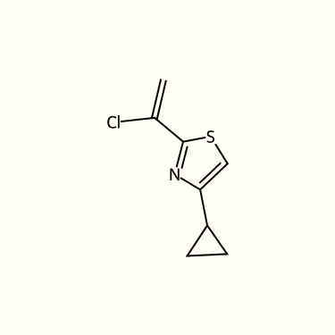 C=C(Cl)c1nc(C2CC2)cs1